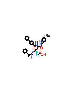 CC(C)(C)c1ccc(CNC(=O)C(CCCCN[C@@H]2C[C@H]2c2ccccc2)NC(=O)c2ccc(-c3ccccc3)cc2)cc1.O=C(O)C(F)(F)F